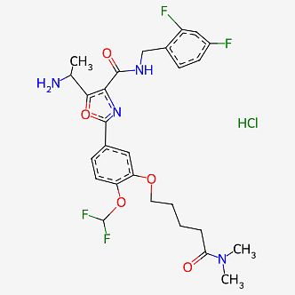 CC(N)c1oc(-c2ccc(OC(F)F)c(OCCCCC(=O)N(C)C)c2)nc1C(=O)NCc1ccc(F)cc1F.Cl